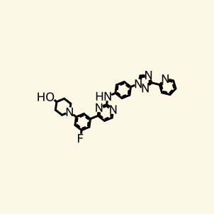 OC1CCN(c2cc(F)cc(-c3ccnc(Nc4ccc(-n5cnc(-c6ccccn6)n5)cc4)n3)c2)CC1